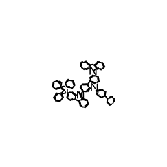 c1ccc(-c2ccc(-n3c4ccc(-n5c6ccccc6c6ccccc65)cc4c4ccc(-n5c6ccccc6c6ccc([Si](c7ccccc7)(c7ccccc7)c7ccccc7)cc65)cc43)cc2)cc1